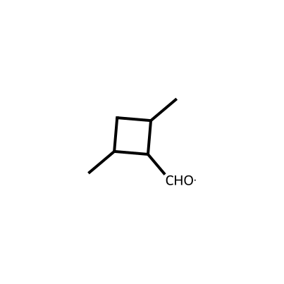 CC1CC(C)C1[C]=O